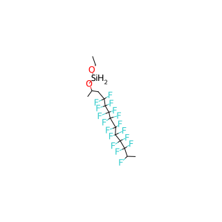 CCO[SiH2]OC(C)CC(F)(F)C(F)(F)C(F)(F)C(F)(F)C(F)(F)C(F)(F)C(F)(F)C(F)(F)C(C)F